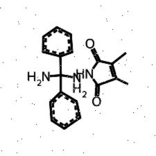 CC1=C(C)C(=O)NC1=O.NC(N)(c1ccccc1)c1ccccc1